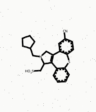 N#Cc1ccc2c(c1)C1=C(c3ccccc3S2)C(CS(=O)(=O)O)N(CC2CCCC2)C1